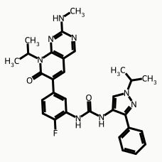 CNc1ncc2cc(-c3ccc(F)c(NC(=O)Nc4cn(C(C)C)nc4-c4ccccc4)c3)c(=O)n(C(C)C)c2n1